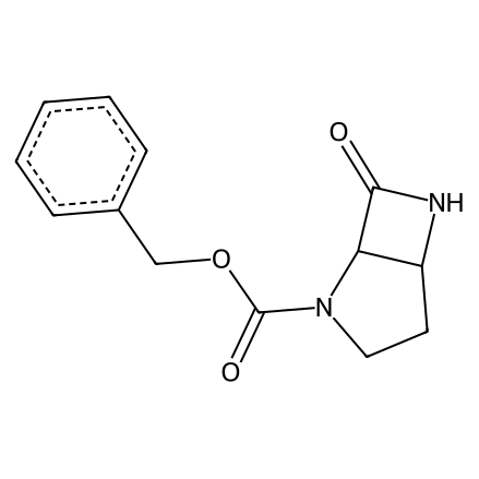 O=C1NC2CCN(C(=O)OCc3ccccc3)C12